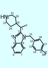 CC(c1nc2ccccc2n1Cc1ccc(F)cc1)C1CCNCC1